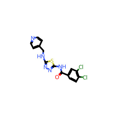 O=C(Nc1nnc(NCc2ccncc2)s1)c1ccc(Cl)c(Cl)c1